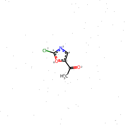 CC(=O)c1cnc(Cl)o1